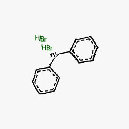 Br.Br.c1cc[c]([Pb][c]2ccccc2)cc1